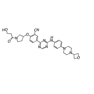 N#Cc1cc(-c2ncnc(Nc3ccc(N4CCN(C5COC5)CC4)cc3)n2)ccc1OC1CCN(C(=O)CCO)C1